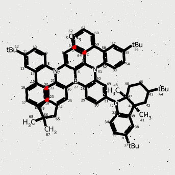 Cc1cc2c3c(c1)N(c1ccc(C(C)(C)C)cc1-c1ccccc1)c1cc4c(cc1B3c1ccc(N3c5ccc(C(C)(C)C)cc5C5(C)CC(C(C)(C)C)CCC35C)cc1N2c1ccc(C(C)(C)C)cc1-c1ccccc1)CC(C)(C)C4